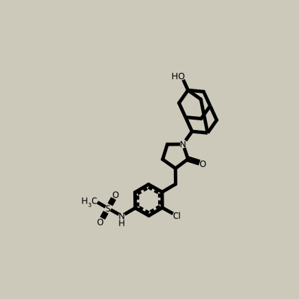 CS(=O)(=O)Nc1ccc(CC2CCN(C3C4CC5CC3CC(O)(C5)C4)C2=O)c(Cl)c1